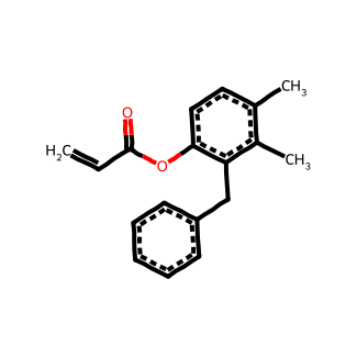 C=CC(=O)Oc1ccc(C)c(C)c1Cc1ccccc1